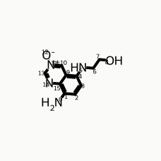 Nc1ccc(NCCO)c2c[n+]([O-])cnc12